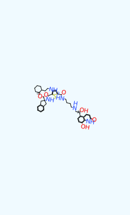 NCCC1CCCC[C@@H]1OC(=O)C1(NCc2ccc(C(=O)NCCCCNC[C@H](O)c3ccc(O)c4[nH]c(=O)ccc34)s2)Cc2ccccc2C1